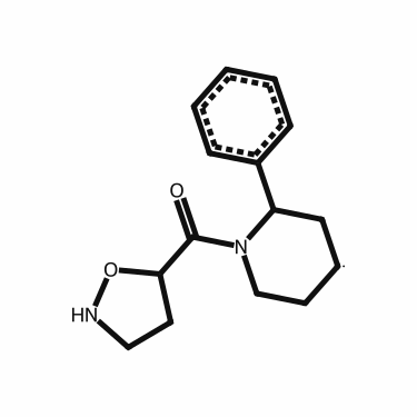 O=C(C1CCNO1)N1CC[CH]CC1c1ccccc1